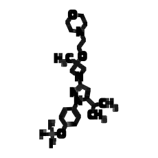 CC(C)c1cc(N2CC(C)(OCCN3CCOCC3)C2)nn1-c1ccc(OC(F)(F)F)cc1